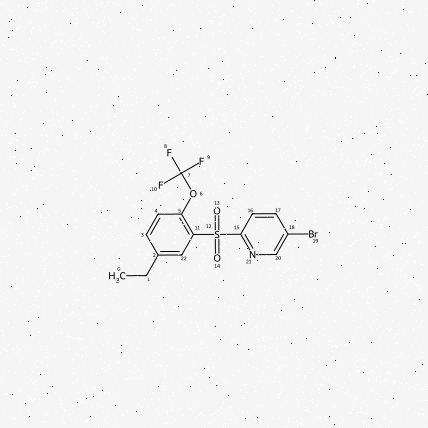 CCc1ccc(OC(F)(F)F)c(S(=O)(=O)c2ccc(Br)cn2)c1